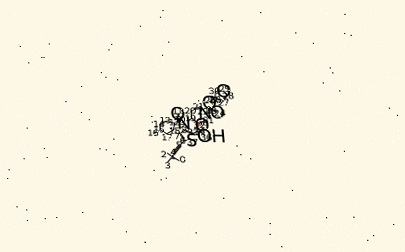 CC(C)(C)C#Cc1cc(N(C(=O)[C@H]2CC[C@H](C)CC2)C2CCN(C(=O)O[C@@H]3CCOC3)CC2)c(C(=O)O)s1